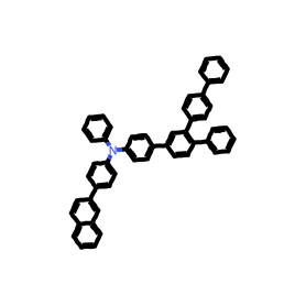 c1ccc(-c2ccc(-c3cc(-c4ccc(N(c5ccccc5)c5ccc(-c6ccc7ccccc7c6)cc5)cc4)ccc3-c3ccccc3)cc2)cc1